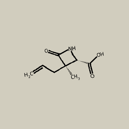 C=CC[C@@]1(C)C(=O)N[C@@H]1C(=O)O